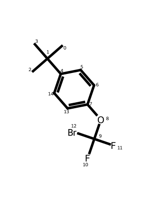 CC(C)(C)c1ccc(OC(F)(F)Br)cc1